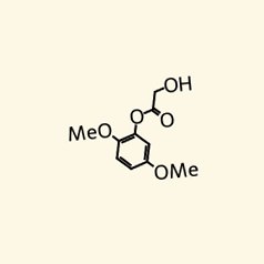 COc1ccc(OC)c(OC(=O)CO)c1